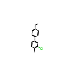 CCc1ccc(-c2ccc(C)c(Cl)c2)cc1